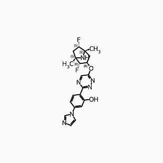 C[C@]12C[C@@H](Oc3cnc(-c4ccc(-n5ccnc5)cc4O)nn3)[C@H](F)[C@](C)(C[C@@H]1F)N2